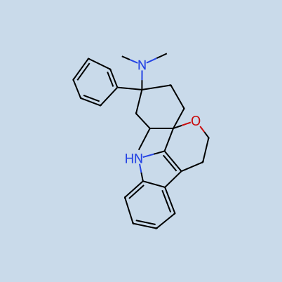 CC1CC(c2ccccc2)(N(C)C)CCC12OCCc1c2[nH]c2ccccc12